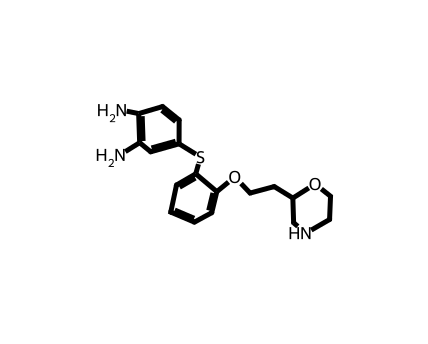 Nc1ccc(Sc2ccccc2OCCC2CNCCO2)cc1N